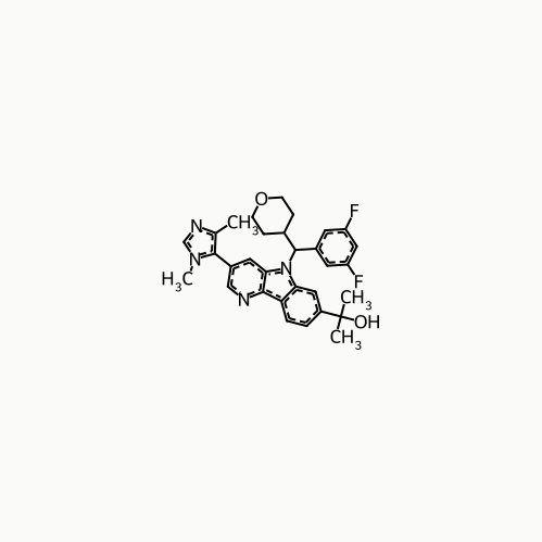 Cc1ncn(C)c1-c1cnc2c3ccc(C(C)(C)O)cc3n(C(c3cc(F)cc(F)c3)C3CCOCC3)c2c1